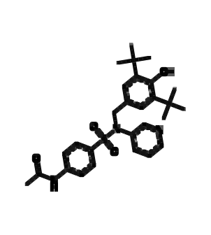 CC(=O)Nc1ccc(S(=O)(=O)N(Cc2cc(C(C)(C)C)c(O)c(C(C)(C)C)c2)c2cccnc2)cc1